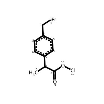 CC(C)Cc1ccc(C(C)C(=O)OCl)cc1